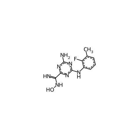 Cc1cccc(Nc2nc(N)nc(C(=N)NO)n2)c1F